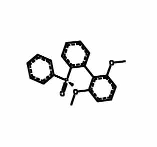 COc1cccc(OC)c1-c1ccccc1[P@](C)(=O)c1ccccc1